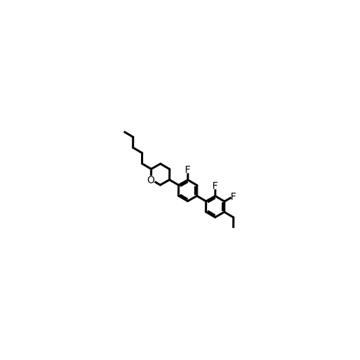 CCCCCC1CCC(c2ccc(-c3ccc(CC)c(F)c3F)cc2F)CO1